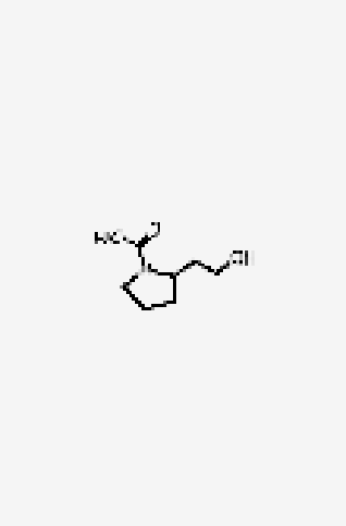 O=C(O)N1CCC[C@@H]1CCO